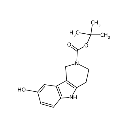 CC(C)(C)OC(=O)N1CCc2[nH]c3ccc(O)cc3c2C1